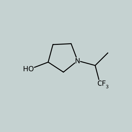 CC(N1CCC(O)C1)C(F)(F)F